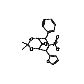 CC1(C)OC2C(=O)C(O1)C(c1ccco1)C([N+](=O)[O-])C2c1ccccc1